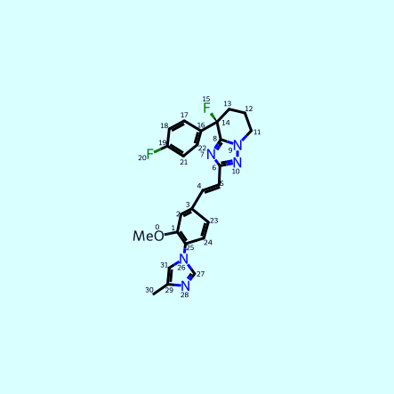 COc1cc(/C=C/c2nc3n(n2)CCC[C@@]3(F)c2ccc(F)cc2)ccc1-n1cnc(C)c1